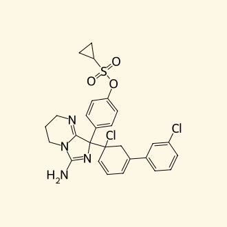 NC1=NC(c2ccc(OS(=O)(=O)C3CC3)cc2)(C2(Cl)C=CC=C(c3cccc(Cl)c3)C2)C2=NCCCN12